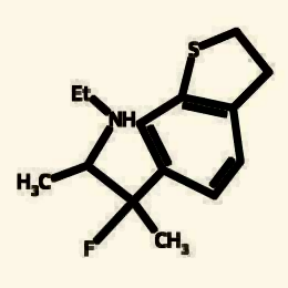 CCNC(C)C(C)(F)c1ccc2c(c1)SCC2